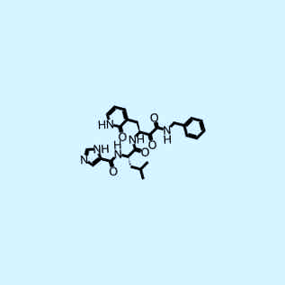 CC(C)C[C@H](NC(=O)c1cnc[nH]1)C(=O)N[C@@H](Cc1ccc[nH]c1=O)C(=O)C(=O)NCc1ccccc1